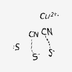 N#C[S-].N#C[S-].[Cu+2].[S]